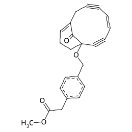 COC(=O)Cc1ccc(COC23C#C/C=C\C#CCC(=CCC2)C3=O)cc1